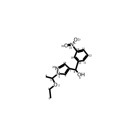 CCOC(C)n1cc(C(O)c2cccc([N+](=O)[O-])c2)cn1